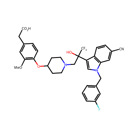 COc1cc(CC(=O)O)ccc1OC1CCN(CC(O)(c2cn(Cc3cccc(F)c3)c3cc(C#N)ccc23)C(F)(F)F)CC1